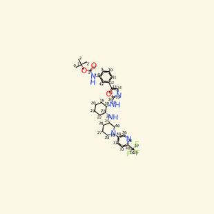 CC(C)(C)OC(=O)Nc1cccc(-c2cnc(N[C@@H]3CCCC[C@H]3N[C@H]3CCCN(c4ccc(C(F)(F)F)nc4)C3)o2)c1